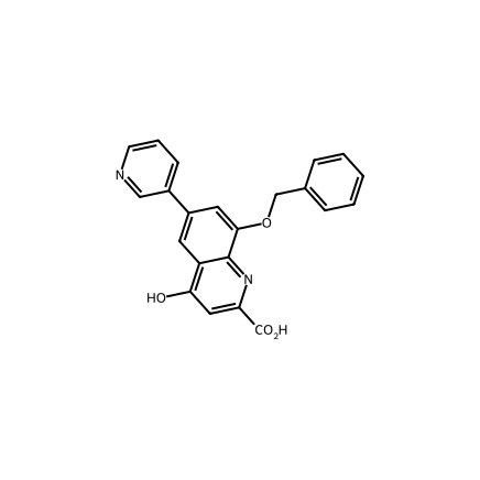 O=C(O)c1cc(O)c2cc(-c3cccnc3)cc(OCc3ccccc3)c2n1